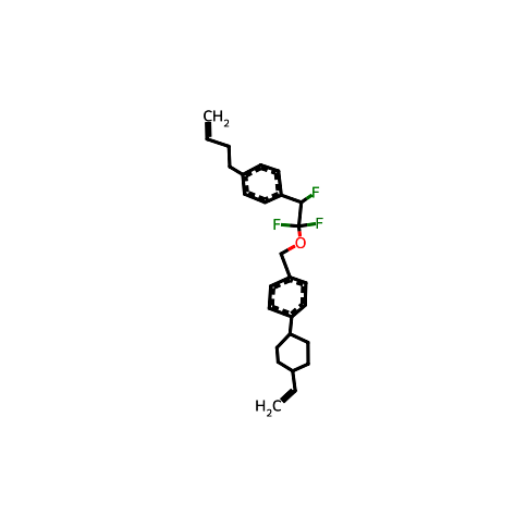 C=CCCc1ccc(C(F)C(F)(F)OCc2ccc(C3CCC(C=C)CC3)cc2)cc1